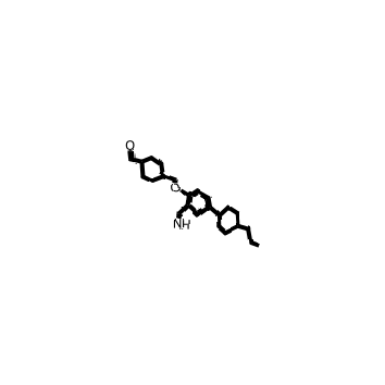 CCCC1CCC(c2ccc(OCC3CCC(C=O)CC3)c(C=N)c2)CC1